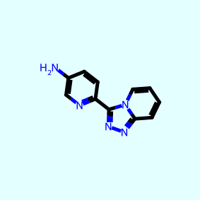 Nc1ccc(-c2nnc3ccccn23)nc1